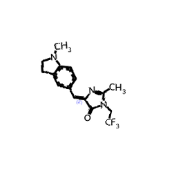 CC1=N/C(=C\c2ccc3c(c2)CCN3C)C(=O)N1CC(F)(F)F